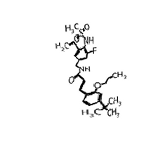 C=CCOc1cc(C(C)(C)C)ccc1C=CC(=O)NCc1cc(F)c(NS(C)(=O)=O)c(C=C)c1